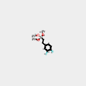 CC(C)O[Si](CCc1ccc(F)c(F)c1)(OC(C)C)OC(C)C